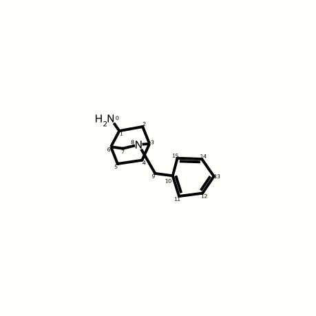 NC1CC2CCC1CN2Cc1ccccc1